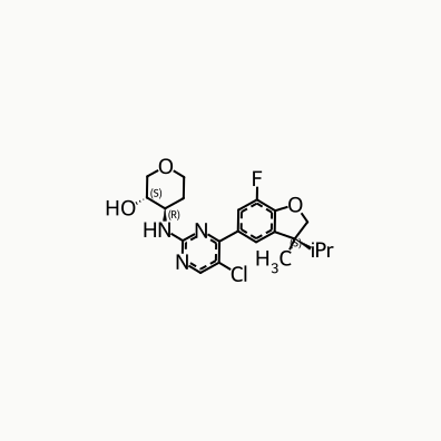 CC(C)[C@]1(C)COc2c(F)cc(-c3nc(N[C@@H]4CCOC[C@H]4O)ncc3Cl)cc21